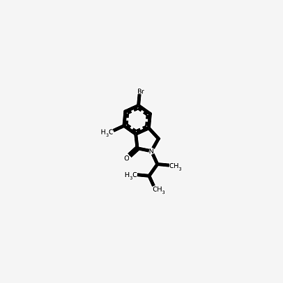 Cc1cc(Br)cc2c1C(=O)N(C(C)C(C)C)C2